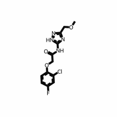 COCc1n[nH]c(NC(=O)COc2ccc(F)cc2Cl)n1